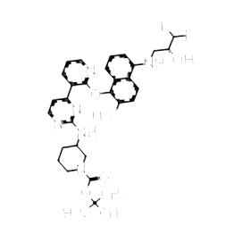 Cc1ccc2c(NC[C@H](O)C(F)F)cccc2c1Oc1ncccc1-c1ccnc(NC2CCCN(C(=O)OC(C)(C)C)C2)n1